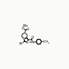 Cc1ccc(NC(=O)c2nc(Br)n3c2CN(C(=O)OC(C)(C)C)CC3)cc1